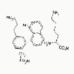 CC(=O)O.NC(Cc1ccccc1)C(=O)O.NCCCCC(N)C(=O)O.c1ccc2ccccc2c1